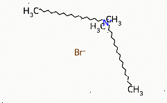 CCCCCCCCCCCCCCCCCC[N+](C)(C)CCCCCCCCCCCCCCCCCC.[Br-]